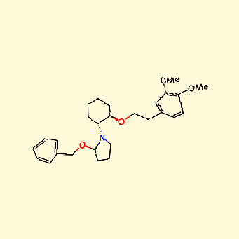 COc1ccc(CCO[C@@H]2CCCC[C@H]2N2CCCC2OCc2ccccc2)cc1OC